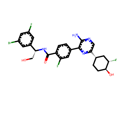 Nc1ncc([C@H]2CC[C@H](O)[C@@H](F)C2)nc1-c1ccc(C(=O)N[C@H](CO)c2cc(F)cc(Br)c2)c(F)c1